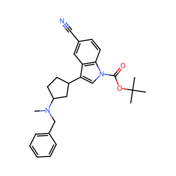 CN(Cc1ccccc1)C1CCC(c2cn(C(=O)OC(C)(C)C)c3ccc(C#N)cc23)C1